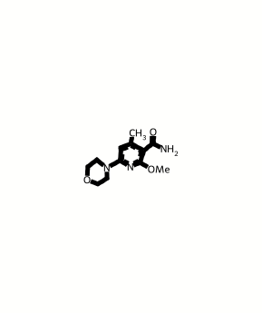 COc1nc(N2CCOCC2)cc(C)c1C(N)=O